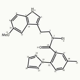 CCN(CCc1c[nH]c2ccc(OC)cc12)C(=O)c1cc(C)ccc1-n1nccn1